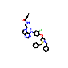 CC#CC(=O)NCCn1ccc2ncnc(Nc3ccc(OC4=CN(Cc5ccccc5)S(Cc5ccccc5)=C4)c(Cl)c3)c21